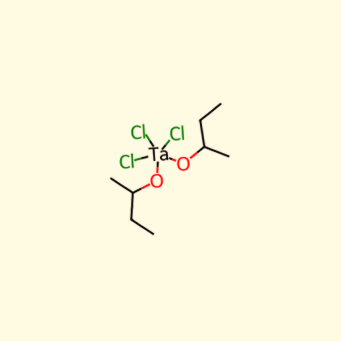 CCC(C)[O][Ta]([Cl])([Cl])([Cl])[O]C(C)CC